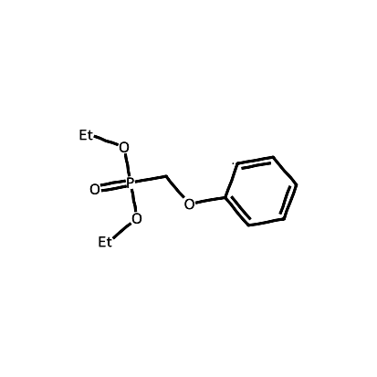 CCOP(=O)(COc1[c]cccc1)OCC